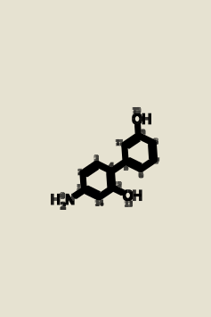 Nc1ccc(-c2cccc(O)c2)c(O)c1